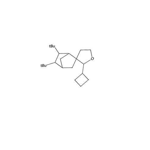 CC(C)(C)C1C2CC(C1C(C)(C)C)C1(CCOC1C1CCC1)C2